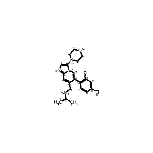 CC(C)NCc1cc2ncc(N3CCOCC3)n2cc1-c1ccc(Cl)cc1Cl